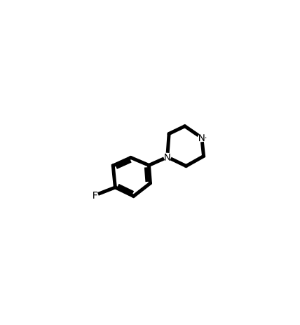 Fc1ccc(N2CC[N]CC2)cc1